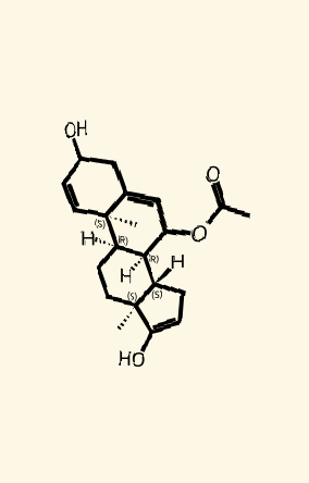 CC(=O)OC1C=C2CC(O)C=C[C@]2(C)[C@@H]2CC[C@]3(C)C(O)=CC[C@H]3[C@H]12